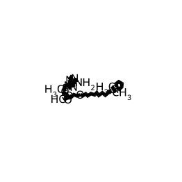 C[C@H](Cn1cnc2c(N)ncnc21)OCP(=O)(O)OCCCOCCCCCCCCCC#C[Si](C)(C)C1CCCCC1